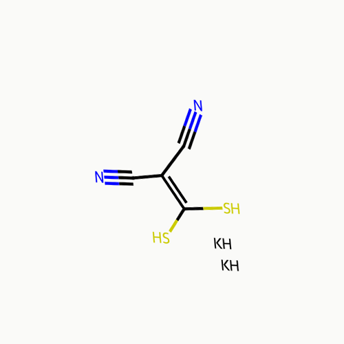 N#CC(C#N)=C(S)S.[KH].[KH]